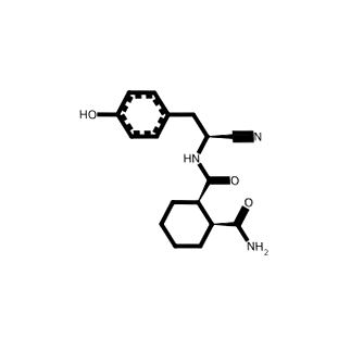 N#C[C@H](Cc1ccc(O)cc1)NC(=O)[C@@H]1CCCC[C@@H]1C(N)=O